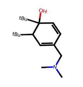 CN(C)CC1=CC(C(C)(C)C)C(O)(C(C)(C)C)C=C1